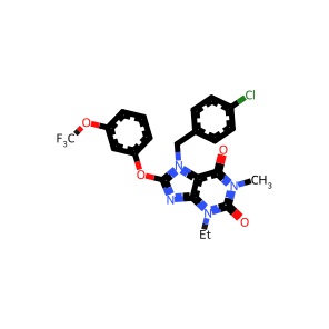 CCn1c(=O)n(C)c(=O)c2c1nc(Oc1cccc(OC(F)(F)F)c1)n2Cc1ccc(Cl)cc1